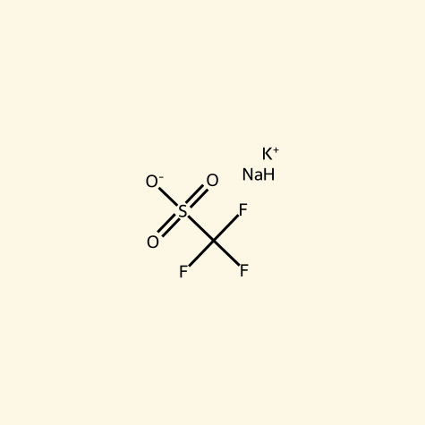 O=S(=O)([O-])C(F)(F)F.[K+].[NaH]